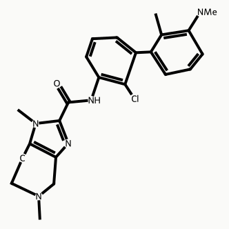 CNc1cccc(-c2cccc(NC(=O)c3nc4c(n3C)CCN(C)C4)c2Cl)c1C